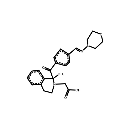 NC1(C(=O)c2ccc(C=NN3CCOCC3)cc2)c2ccccc2CCN1CC(=O)O